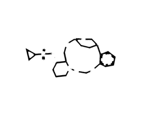 O=S(=O)(N[C@H]1CCCN2CCOc3ccccc3C3CCC(CC3)OCC12)C1CC1